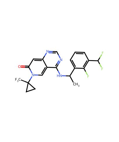 CC(Nc1ncnc2cc(=O)n(C3(C(F)(F)F)CC3)cc12)c1cccc(C(F)F)c1F